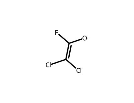 [O]C(F)=C(Cl)Cl